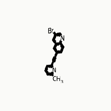 Cc1cccc(C#Cc2ccc3ncc(Br)cc3c2)n1